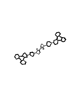 C1=C(C2=CCC(c3ccc(-c4ccc5c6ccccc6c6ccccc6c5c4)cc3)S2)SC(c2ccc(-c3ccc4c5ccccc5c5ccccc5c4c3)cc2)C1